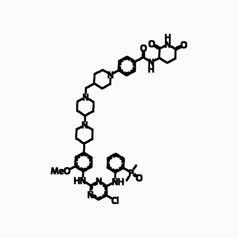 COc1cc(C2CCN(C3CCN(CC4CCN(c5ccc(C(=O)NC6CCC(=O)NC6=O)cc5)CC4)CC3)CC2)ccc1Nc1ncc(Cl)c(Nc2ccccc2P(C)(C)=O)n1